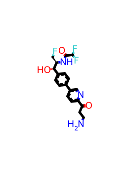 NCCC(=O)c1ccc(-c2ccc([C@@H](O)[C@@H](CF)NC(=O)C(F)F)cc2)cn1